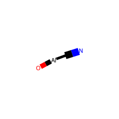 N#[C][Al]=[O]